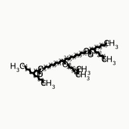 CCCCCC(CCCCC)CC(=O)OCCCCCCCCC(CCCCCCCCOC(=O)CC(CCCCC)CCCCC)OCCCCN(C)C